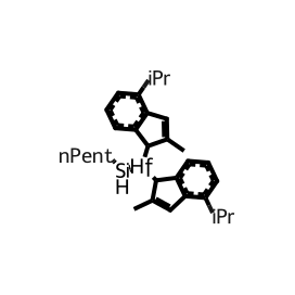 CCCCC[SiH]=[Hf]([CH]1C(C)=Cc2c(C(C)C)cccc21)[CH]1C(C)=Cc2c(C(C)C)cccc21